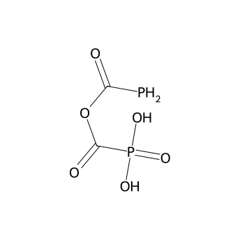 O=C(P)OC(=O)P(=O)(O)O